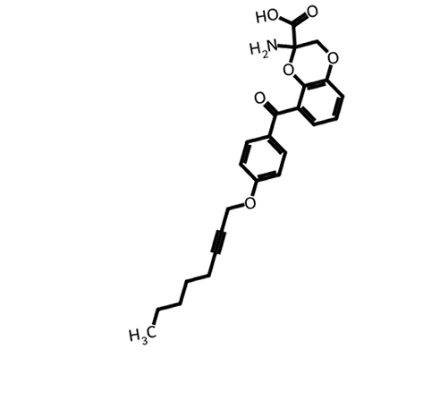 CCCCCC#CCOc1ccc(C(=O)c2cccc3c2OC(N)(C(=O)O)CO3)cc1